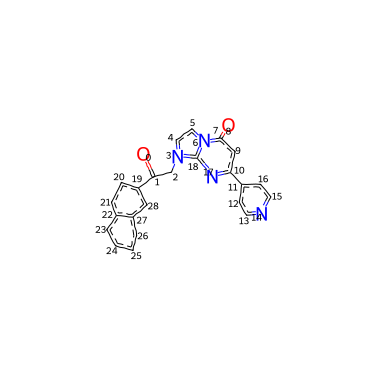 O=C(Cn1ccn2c(=O)cc(-c3ccncc3)nc12)c1ccc2ccccc2c1